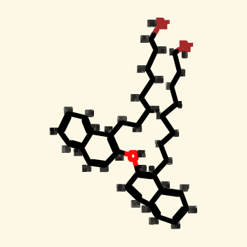 BrCCCCCCCCc1c(Oc2ccc3ccccc3c2CCCCCCCCBr)ccc2ccccc12